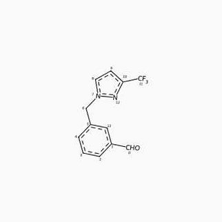 O=Cc1cccc(Cn2ccc(C(F)(F)F)n2)c1